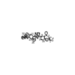 CCC1(CC)CC(=O)c2cc(-c3nc(-c4ccc(NS(C)(=O)=O)cc4OC)no3)ccc2O1